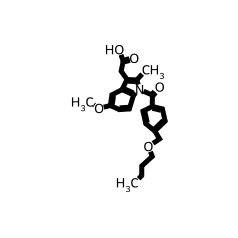 CCCCOCc1ccc(C(=O)n2c(C)c(CC(=O)O)c3cc(OC)ccc32)cc1